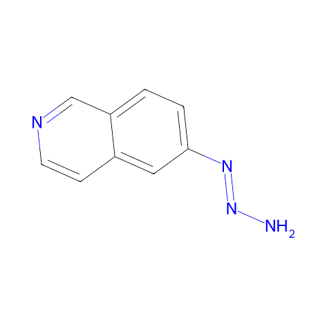 NN=Nc1ccc2cnccc2c1